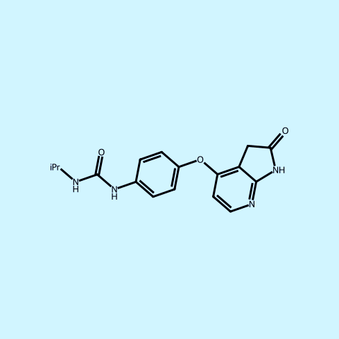 CC(C)NC(=O)Nc1ccc(Oc2ccnc3c2CC(=O)N3)cc1